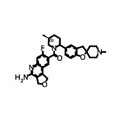 C[C@H]1CCC(c2ccc3c(c2)CC2(CCN(C)CC2)O3)N(C(=O)c2cc3c4c(c(N)nc3cc2F)COC4)C1